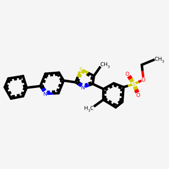 CCOS(=O)(=O)c1ccc(C)c(-c2nc(-c3ccc(-c4ccccc4)nc3)sc2C)c1